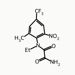 CCN(C(=O)C(N)=O)c1c(C)cc(C(F)(F)F)cc1[N+](=O)[O-]